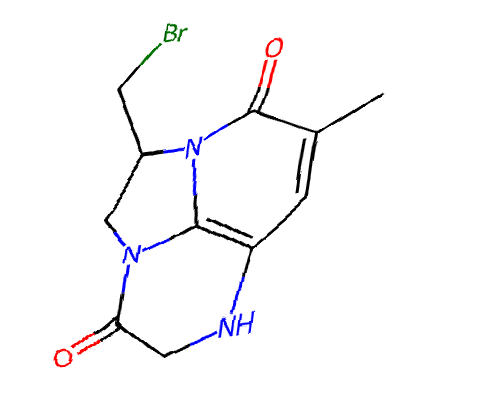 Cc1cc2c3n(c1=O)C(CBr)CN3C(=O)CN2